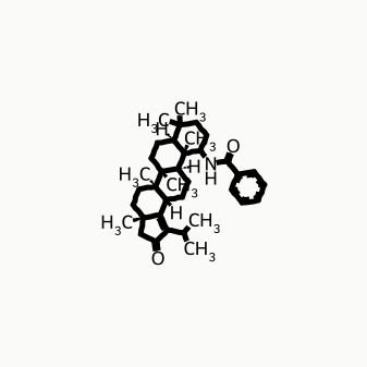 CC(C)C1=C2[C@H]3CC[C@@H]4[C@@]5(C)C(NC(=O)c6ccccc6)CCC(C)(C)[C@@H]5CC[C@@]4(C)[C@]3(C)CC[C@@]2(C)CC1=O